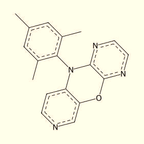 Cc1cc(C)c(N2c3ccncc3Oc3nccnc32)c(C)c1